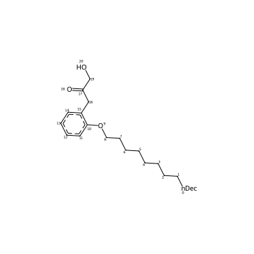 CCCCCCCCCCCCCCCCCCOc1ccccc1CC(=O)CO